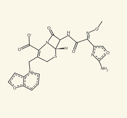 CON=C(C(=O)NC1C(=O)N2C(C(=O)[O-])=C(C[n+]3cccc4occc43)CS[C@@H]12)c1coc(N)n1